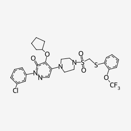 O=c1c(OC2CCCC2)c(N2CCN(S(=O)(=O)CSc3ccccc3OC(F)(F)F)CC2)cnn1-c1cccc(Cl)c1